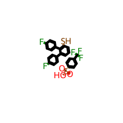 Fc1ccc(-c2cccc(S)c2-c2ccc(F)cc2)cc1.O=S(=O)(O)c1ccc(C(F)(F)F)cc1